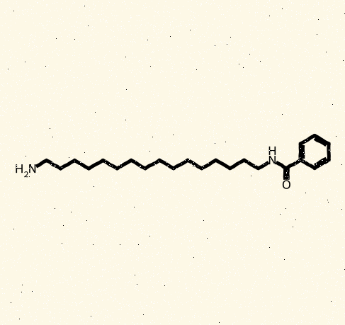 NCCCCCCCCCCCCCCCCNC(=O)c1ccccc1